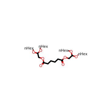 CCCCCCOC(COC(=O)CCCCC(=O)OCC(OCCCCCC)OCCCCCC)OCCCCCC